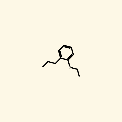 CCCc1ccccc1SCC